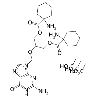 CC(=O)O.CC(=O)O.CC(=O)O.Nc1nc2c(ncn2COC(COC(=O)C2(N)CCCCC2)COC(=O)C2(N)CCCCC2)c(=O)[nH]1